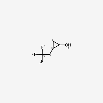 OC1CC1[CH]C(F)(F)F